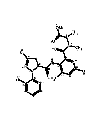 COC(=O)N(C)N(C)C(=O)c1nc(Cl)cc(C)c1NC(=O)C1CC(Br)=NN1c1ncccc1Cl